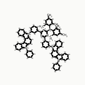 Cc1cc(C)c(B(c2nc(-c3cccc(-n4c5ccccc5c5c6c7ccccc7n(-c7ccccc7)c6ccc54)c3)nc(-c3cccc(-n4c5ccccc5c5c6c7ccccc7n(-c7ccccc7)c6ccc54)c3)n2)c2c(C)cc(C)cc2C)c(C)c1